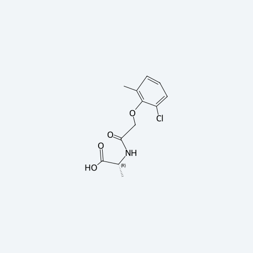 Cc1cccc(Cl)c1OCC(=O)N[C@H](C)C(=O)O